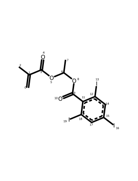 C=C(C)C(=O)OC(C)OC(=O)c1c(I)cc(I)cc1I